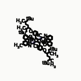 Cc1ccc2oc(/C(C#N)=c3/c4c(-c5cccc(OCC(CCC(C)CC(C)(C)C)C(C)CC(C)(C)C)c5)n(B5Oc6ccccc6O5)/c(=C(/C#N)c5nc6ccccc6s5)c4c(-c4cccc(OCC(CCC(C)CC(C)(C)C)C(C)CC(C)(C)C)c4)n3B3Oc4ccccc4O3)nc2c1